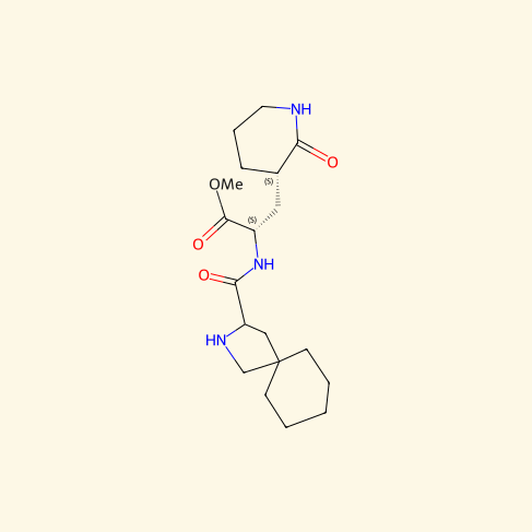 COC(=O)[C@H](C[C@@H]1CCCNC1=O)NC(=O)C1CC2(CCCCC2)CN1